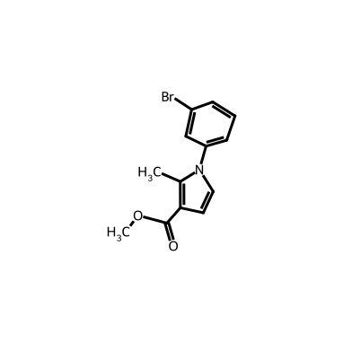 COC(=O)c1ccn(-c2cccc(Br)c2)c1C